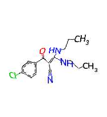 CCCNC(NCCC)=C(C#N)C(=O)c1ccc(Cl)cc1